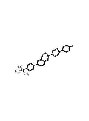 C[Si](C)(C)c1ccc(-c2ccc3cc(-c4ccc(-c5ccc(F)cc5)nc4)ccc3c2)cc1